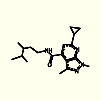 Cc1nn(C)c2nc(C3CC3)cc(C(=O)NCCC(C)C(C)C)c12